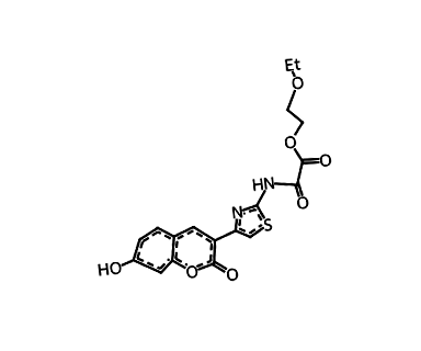 CCOCCOC(=O)C(=O)Nc1nc(-c2cc3ccc(O)cc3oc2=O)cs1